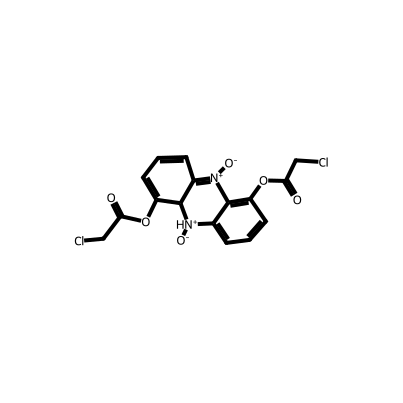 O=C(CCl)OC1=CC=CC2=[N+]([O-])c3c(OC(=O)CCl)cccc3[NH+]([O-])C12